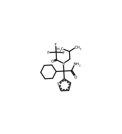 CC(C)CN(C(=O)C(F)(F)F)C(C(N)=O)(c1cccs1)C1CCCCC1